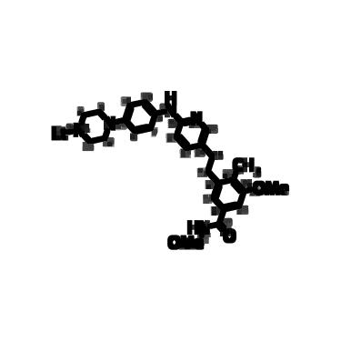 CCN1CCN(c2ccc(Nc3ccc(CCc4cc(C(=O)NOC)cc(OC)c4C)cn3)cc2)CC1